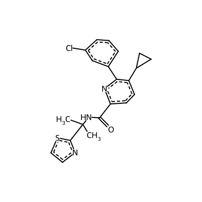 CC(C)(NC(=O)c1ccc(C2CC2)c(-c2cccc(Cl)c2)n1)c1nccs1